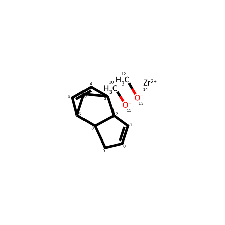 C1=CC2C3C=CC(C3)C2C1.C[O-].C[O-].[Zr+2]